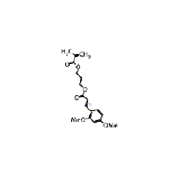 C=C(C)C(=O)OCCCOC(=O)/C=C/c1ccc(OC)cc1OC